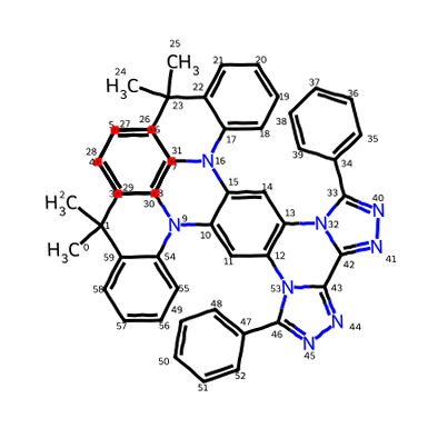 CC1(C)c2ccccc2N(c2cc3c(cc2N2c4ccccc4C(C)(C)c4ccccc42)n2c(-c4ccccc4)nnc2c2nnc(-c4ccccc4)n32)c2ccccc21